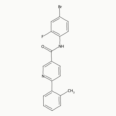 Cc1ccccc1-c1ccc(C(=O)Nc2ccc(Br)cc2F)cn1